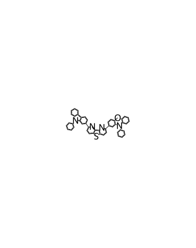 c1ccc(N2c3ccccc3Oc3ccc(-c4ccc5sc6ccc(-c7ccc8c9ccccc9n(-c9ccccc9)c8c7)nc6c5n4)cc32)cc1